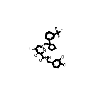 O=C(NCc1ccc(Cl)c(Cl)c1)c1nn(CC2(c3cccc(C(F)(F)F)c3)CCCC2)cc(O)c1=O